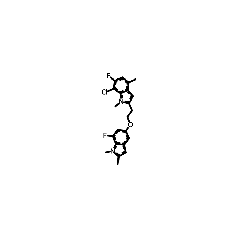 Cc1cc(F)c(Cl)c2c1cc(CCOc1cc(F)c3c(c1)cc(C)n3C)n2C